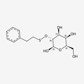 OC[C@H]1O[C@@H](O)[C@H](OSCCc2ccccc2)[C@@H](O)[C@H]1O